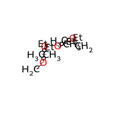 C=CCCCOc1ccc(C(C)(C)c2ccc(OC(CC)(CC)CCCCCOc3ccc(C(C)(C)c4ccc(OC(CC)(CC)CCC=C)cc4)cc3)cc2)cc1